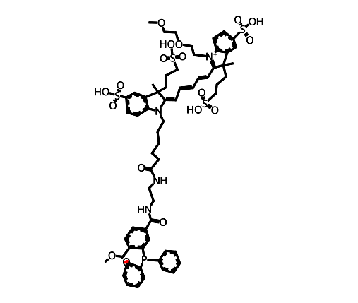 COCCOCC[N+]1=C(/C=C/C=C/C=C2/N(CCCCCC(=O)NCCNC(=O)c3ccc(C(=O)OC)c(P(c4ccccc4)c4ccccc4)c3)c3ccc(S(=O)(=O)O)cc3C2(C)CCCS(=O)(=O)O)C(C)(CCCS(=O)(=O)O)c2cc(S(=O)(=O)O)ccc21